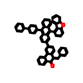 O=C1/C(=C/c2ccccc2)c2ccc(-c3ccc4c(-c5ccc(-c6ccccc6)cc5)c5ccccc5c(-c5cccc6oc7ccccc7c56)c4c3)cc2-c2ccccc21